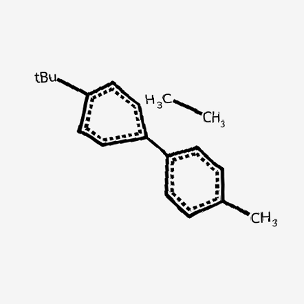 CC.Cc1ccc(-c2ccc(C(C)(C)C)cc2)cc1